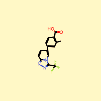 Cc1cc(-c2ccc3nnc(C(F)(F)F)n3c2)ccc1C(=O)O